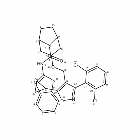 O=C(Nc1nc2ccccc2s1)N1C2CCC1CC(OCc1c(-c3c(Cl)cccc3Cl)noc1C1CC1)C2